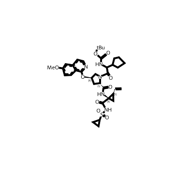 C=C[C@@H]1C[C@]1(NC(=O)[C@@H]1C[C@@H](Oc2nccc3cc(OC)ccc23)CN1C(=O)C(NC(=O)OC(C)(C)C)C1CCCC1)C(=O)NS(=O)(=O)C1CC1